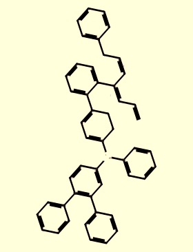 C=C/C=C(\C=C/Cc1ccccc1)c1ccccc1C1=CC=C(N(c2ccccc2)c2ccc(-c3ccccc3)c(-c3ccccc3)c2)CC1